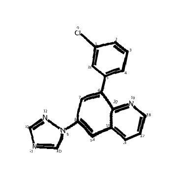 Clc1cccc(-c2cc(-n3cncn3)cc3cccnc23)c1